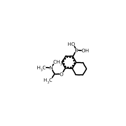 CC(Oc1ccc(B(O)O)c2c1CCCC2)N(C)C